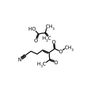 C=C(C)C(=O)O.COC(=O)C(=CCCC#N)C(C)=O